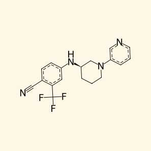 N#Cc1ccc(N[C@@H]2CCCN(c3cccnc3)C2)cc1C(F)(F)F